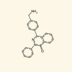 NCc1ccc(-c2nn(-c3ccccc3)c(=O)c3ccccc23)cc1